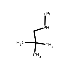 CCCPCC(C)(C)C